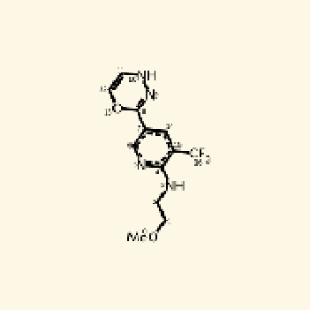 COCCNc1ncc(C2=NNC=CO2)cc1C(F)(F)F